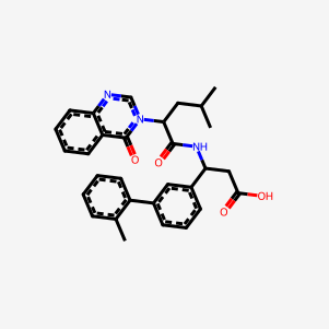 Cc1ccccc1-c1cccc(C(CC(=O)O)NC(=O)C(CC(C)C)n2cnc3ccccc3c2=O)c1